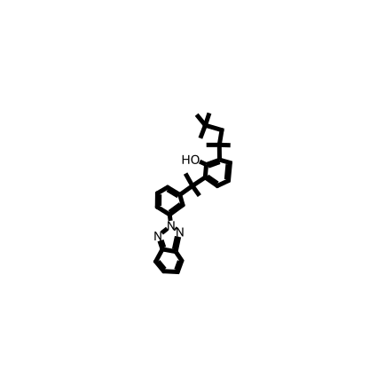 CC(C)(C)CC(C)(C)c1cccc(C(C)(C)c2cccc(-n3nc4ccccc4n3)c2)c1O